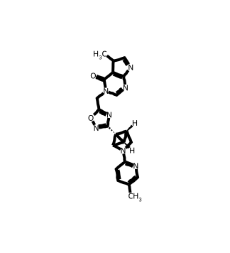 Cc1ccc(N2C[C@@H]3[C@@H]4C2[C@@]34c2noc(Cn3cnc4c(c3=O)C(C)C=N4)n2)nc1